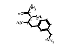 CC(Cc1cccc(CN)c1)N(C)C(N)=O